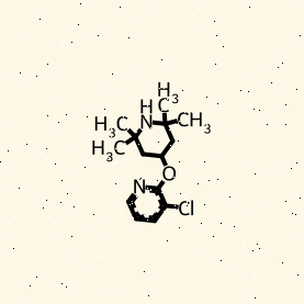 CC1(C)CC(Oc2ncccc2Cl)CC(C)(C)N1